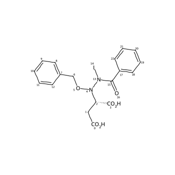 O=C(O)C[C@@H](C(=O)O)N(OCc1ccccc1)N(I)C(=O)c1ccccc1